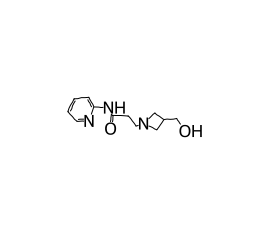 O=C(CCN1CC(CO)C1)Nc1ccccn1